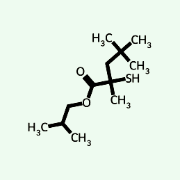 CC(C)COC(=O)C(C)(S)CC(C)(C)C